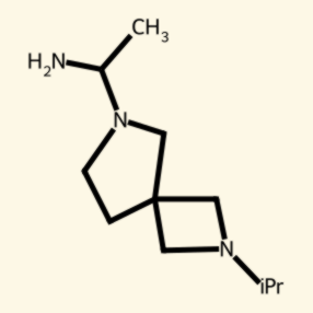 CC(C)N1CC2(CCN(C(C)N)C2)C1